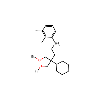 CCOCC(CC[SiH2]c1cccc(C)c1C)(COCC)C1CCCCC1